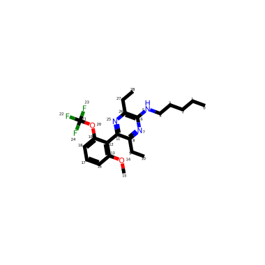 CCCCCNc1nc(CC)c(-c2c(OC)cccc2OC(F)(F)F)nc1CC